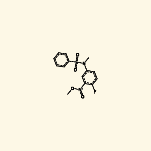 CO[N+](=O)c1cc(N(C)S(=O)(=O)c2ccccc2)ccc1F